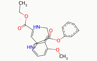 CCOC(=O)C1=CC23C(=CC=C(OC)C2=CCN1)NCC3C(=O)Oc1ccccc1